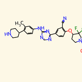 Cc1cc(Nc2ncnc(-c3ccc(OC4CCN(C=O)CC4(F)F)c(C#N)c3)n2)ccc1C1CCNCC1